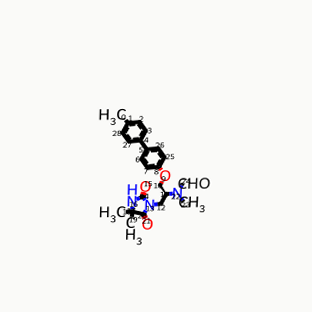 Cc1ccc(-c2ccc(OC[C@H](CN3C(=O)NC(C)(C)C3=O)N(C)C=O)cc2)cc1